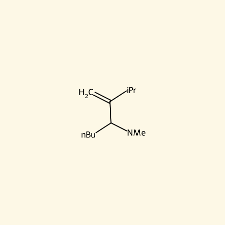 C=C(C(C)C)C(CCCC)NC